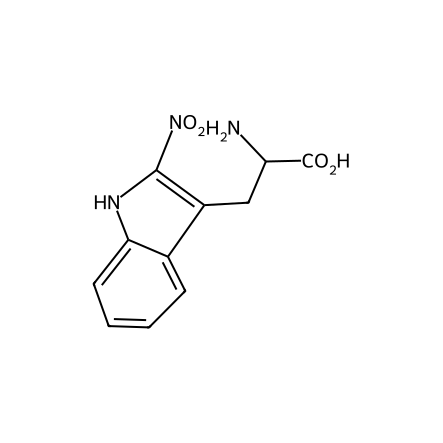 NC(Cc1c([N+](=O)[O-])[nH]c2ccccc12)C(=O)O